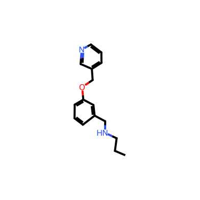 CCCNCc1cccc(OCc2cccnc2)c1